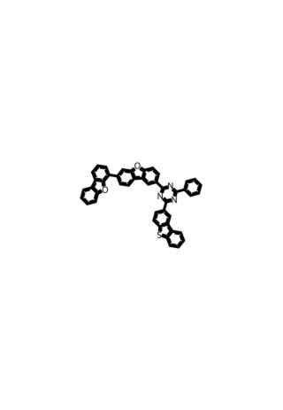 c1ccc(-c2nc(-c3ccc4oc5cc(-c6cccc7c6oc6ccccc67)ccc5c4c3)nc(-c3ccc4sc5ccccc5c4c3)n2)cc1